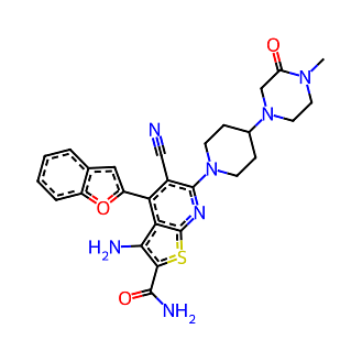 CN1CCN(C2CCN(c3nc4sc(C(N)=O)c(N)c4c(-c4cc5ccccc5o4)c3C#N)CC2)CC1=O